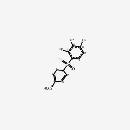 O=S(=O)(O)C1=CCC(S(=O)(=O)c2ccc(F)c(F)c2F)C=C1